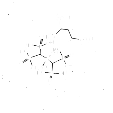 CCC[N+](CCC)(C(P(=O)(O)O)P(=O)(O)O)C(P(=O)(O)O)P(=O)(O)O.N[C@@H](CCC(=O)O)C(=O)O